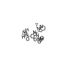 COc1cc(C(=O)N2C[C@H]3CC4C[C@@H]2[C@H]43)cc2nc(-c3cc4cccnc4n3CC3CC3)n(CCS(C)(=O)=O)c12